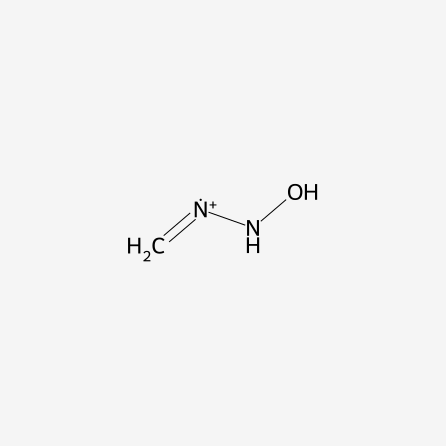 C=[N+]NO